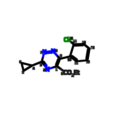 CCOC(=O)c1nc(C2CC2)nnc1-c1ccccc1Cl